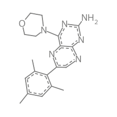 Cc1cc(C)c(-c2cnc3nc(N)nc(N4CCOCC4)c3n2)c(C)c1